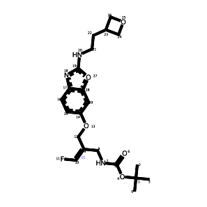 CC(C)(C)OC(=O)NC/C(=C/F)COc1ccc2nc(NCCC3COC3)oc2c1